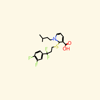 CC(C)CCN1C=CC=C(C(=O)O)C1SCCC(F)(F)c1ccc(F)c(F)c1